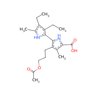 CCc1c(C)[nH]c(-c2[nH]c(C(=O)O)c(C)c2CCCOC(C)=O)c1CC